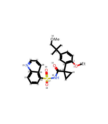 CCOc1ccc(C(C)(C)COC)cc1C1(C(=O)NS(=O)(=O)c2cccc3ncccc23)CC1